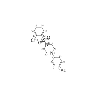 CC(=O)c1ccc(N2CCN(S(=O)(=O)c3ccccc3Cl)CC2)cc1